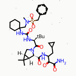 CN(CC1(NC(=O)N[C@H](C(=O)N2C[C@H]3[C@@H]([C@H]2C(=O)NC(CC2CC2)C(=O)C(N)=O)C3(C)C)C(C)(C)C)CCCCC1)S(=O)(=O)Cc1ccccc1